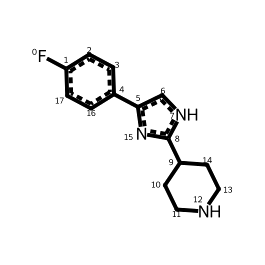 Fc1ccc(-c2c[nH]c(C3CCNCC3)n2)cc1